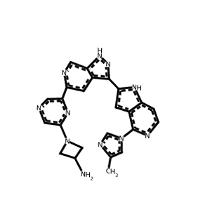 Cc1cn(-c2nccc3[nH]c(-c4n[nH]c5cnc(-c6cncc(N7CC(N)C7)n6)cc45)cc23)cn1